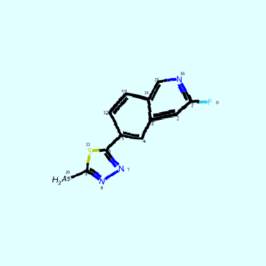 Fc1cc2cc(-c3nnc([AsH2])s3)ccc2cn1